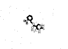 CC1=C(C(=O)OCc2ccccc2[N+](=O)[O-])CNC(=S)N1